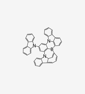 C1=CC2=CC3C(=C1)c1ccccc1N3c1cc(-n3c4ccccc4c4ccccc43)cc3c1B2c1cccc2c4ccccc4n-3c12